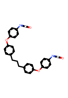 O=C=Nc1ccc(Oc2ccc(CCCc3ccc(Oc4ccc(N=C=O)cc4)cc3)cc2)cc1